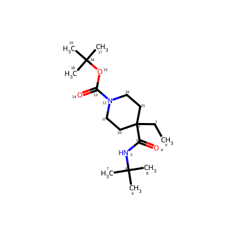 CCC1(C(=O)NC(C)(C)C)CCN(C(=O)OC(C)(C)C)CC1